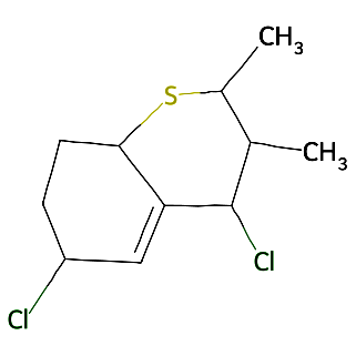 CC1SC2CCC(Cl)C=C2C(Cl)C1C